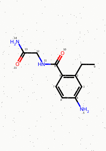 CCc1cc(N)ccc1C(=O)NCC(N)=O